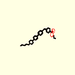 CCCCCC1CCC(c2ccc(-c3ccc(CC4CCC(C(=O)OCCC)CC4)cc3)cc2)CC1